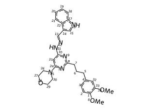 COc1ccc(CCCc2nc(NN=Cc3c[nH]c4ccccc34)cc(N3CCOCC3)n2)cc1OC